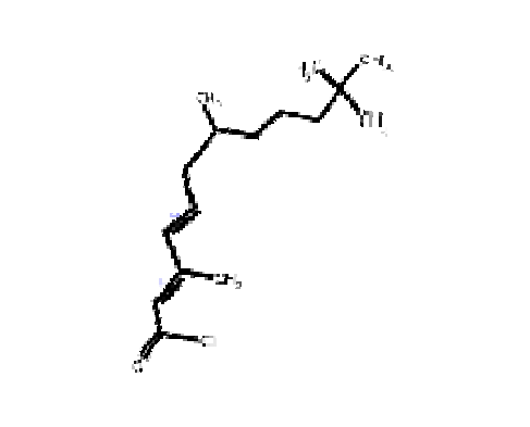 CC(/C=C/CC(C)CCCC(C)(C)C)=C\C(=O)Cl